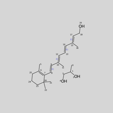 CC(O)CO.CC1=C(/C=C/C(C)=C/C=C/C(C)=C/CO)C(C)(C)CCC1